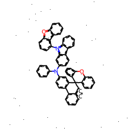 c1ccc(N(c2ccc3c(c2)C2(c4ccccc4Oc4ccccc42)c2cccc4cccc-3c24)c2ccc3c4ccccc4n(-c4cccc5oc6ccccc6c45)c3c2)cc1